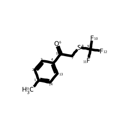 Cc1ccc(C(=O)CSC(F)(F)F)cc1